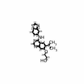 CP(C)c1cc2c(Nc3ccc4scnc4c3)ncnc2cc1OCCO